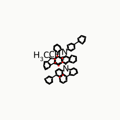 CC1(C)c2ccccc2-c2cc3c(N(c4ccc(-c5ccccc5)cc4)c4ccccc4-c4ccccc4)c4ccccc4c(N(c4ccc(-c5ccccc5)cc4)c4ccccc4-c4ccccc4)c3cc21